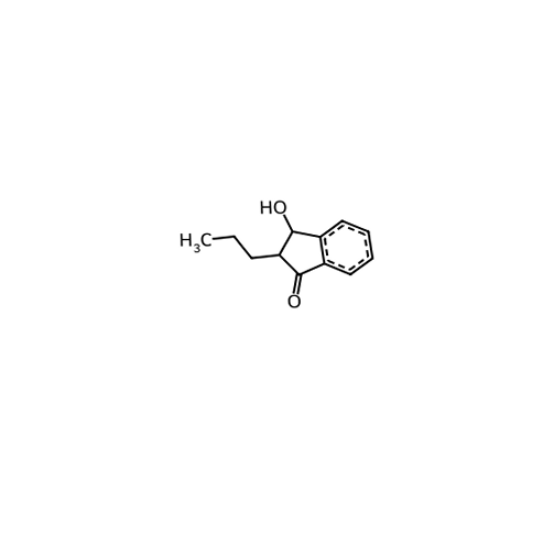 CCCC1C(=O)c2ccccc2C1O